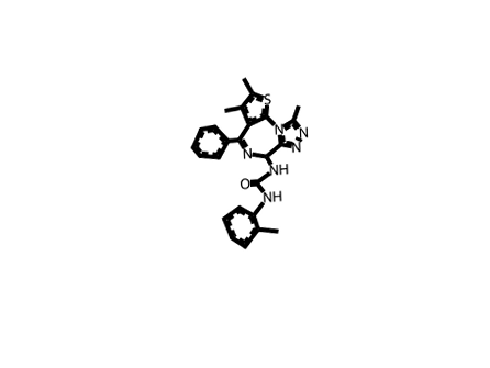 Cc1ccccc1NC(=O)NC1N=C(c2ccccc2)c2c(sc(C)c2C)-n2c(C)nnc21